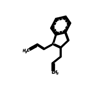 C=CC[C]1Cc2ccccc2N1CC=C